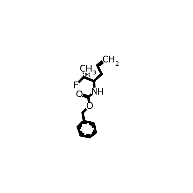 C=CCC(NC(=O)OCc1ccccc1)[C@@H](C)F